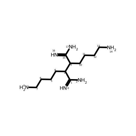 N=C(N)C(CCCCN)C(CCCCN)C(=N)N